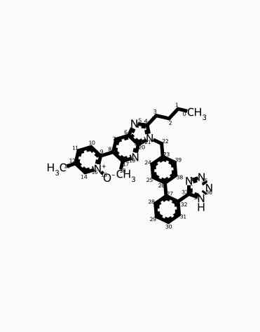 CCCCc1nc2cc(-c3ccc(C)c[n+]3[O-])c(C)nc2n1Cc1ccc(-c2ccccc2-c2nnn[nH]2)cc1